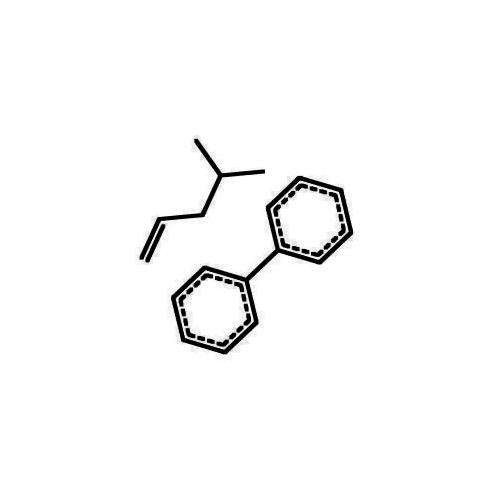 C=CCC(C)C.c1ccc(-c2ccccc2)cc1